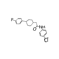 O=C(CC1CCC(c2ccc(F)cc2)CC1)Nc1ccc(Cl)cc1